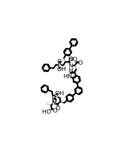 C[C@H](NC(=O)[C@H](Cc1ccc(-c2cccc(-c3ccc4c(C[C@H](NC(=O)[C@@H](Cc5ccc(-c6ccccc6)cc5)CP(=O)(O)CCc5ccccc5)C(=O)O)c[nH]c4c3)c2)cc1)CP(=O)(O)CCc1ccccc1)C(=O)O